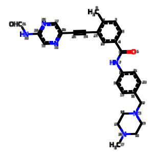 Cc1ccc(C(=O)Nc2ccc(CN3CCN(C)CC3)cc2)cc1C#Cc1cnc(NC=O)cn1